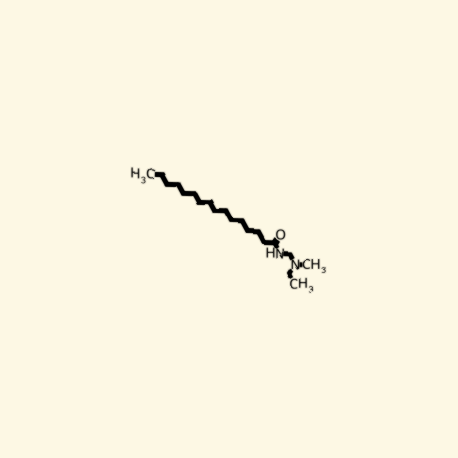 CCCCCCCCCCCCCCCC(=O)NCN(C)CC